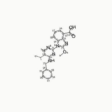 CCc1nnc(-n2c(OC)nc3c(C(=O)O)cccc32)nc1NCc1ccccc1